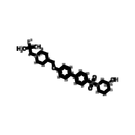 CC(C)(F)CN1CCC(COc2ccc(-c3ccc(S(=O)(=O)N4CCC[C@@H](O)C4)cc3)cc2)CC1